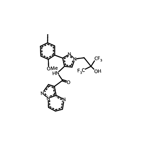 COc1ccc(C)cc1-c1nn(CC(O)(C(F)(F)F)C(F)(F)F)cc1NC(=O)c1cnn2cccnc12